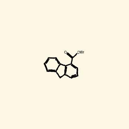 COC(=O)c1cccc2c1-c1ccccc1C2